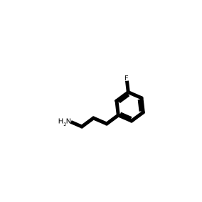 NCCCc1[c]c(F)ccc1